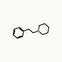 [C]1CCCCN1CCc1ccccc1